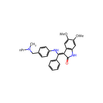 CCCN(C)Cc1ccc(NC(=C2C(=O)Nc3cc(OC)c(OC)cc32)c2ccccc2)cc1